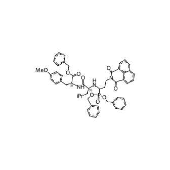 COc1ccc(C[C@H](NC(=O)[C@H](CC(C)C)NC(CCN2C(=O)c3cccc4cccc(c34)C2=O)P(=O)(OCc2ccccc2)OCc2ccccc2)C(=O)OCc2ccccc2)cc1